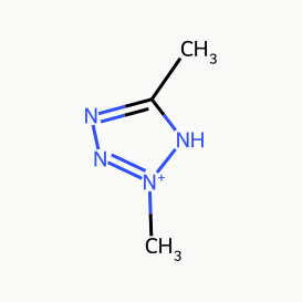 Cc1nn[n+](C)[nH]1